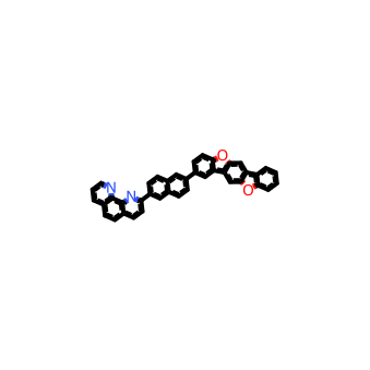 c1cnc2c(c1)ccc1ccc(-c3ccc4cc(-c5ccc6oc7cc8c(cc7c6c5)oc5ccccc58)ccc4c3)nc12